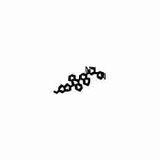 CCc1ccc2cc(-c3c4ccccc4c(-c4ccc(-c5cc(-c6ccncc6)ccn5)c5ccccc45)c4ccccc34)ccc2c1